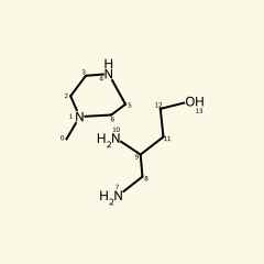 CN1CCNCC1.NCC(N)CCO